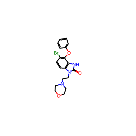 O=c1[nH]c2c(Oc3ccccc3)c(Br)ccc2n1CCN1CCOCC1